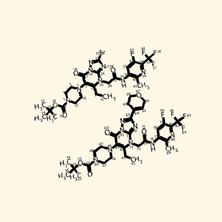 CCc1c(N2CCN(C(=O)OC(C)(C)C)CC2)c(=O)n2nc(Br)nc2n1CC(=O)Nc1cc(F)c(C(F)(F)F)nc1C.CCc1c(N2CCN(C(=O)OC(C)(C)C)CC2)c(=O)n2nc(C3=CCOCC3)nc2n1CC(=O)Nc1cc(F)c(C(F)(F)F)nc1C